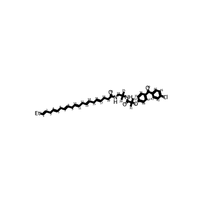 CCC=CCC=CCC=CCC=CCC=CCC=CCCC(=O)NCC(C)(C)NC(=O)C(C)(C)Oc1ccc(C(=O)c2ccc(Cl)cc2)cc1